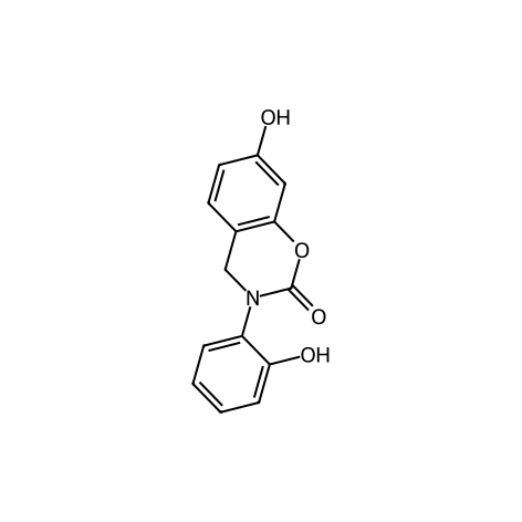 O=C1Oc2cc(O)ccc2CN1c1ccccc1O